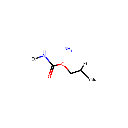 CCCCC(CC)COC(=O)NCC.N